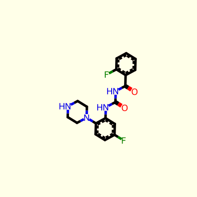 O=C(NC(=O)c1ccccc1F)Nc1cc(F)ccc1N1CCNCC1